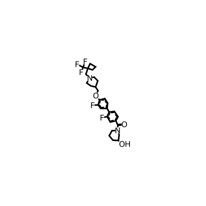 O=C(c1ccc(-c2ccc(OCC3CCN(CC4(C(F)(F)F)CCC4)CC3)c(F)c2)c(F)c1)N1CCC[C@H](O)C1